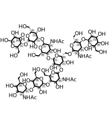 CC(=O)N[C@H]1[C@H](OC[C@H]2O[C@@H](O[C@H]3[C@H](O)[C@@H](NC(C)=O)[C@H](O[C@H]4[C@@H](O)[C@@H](CO)O[C@@H](O[C@H]5[C@H](O)[C@@H](O)[C@H](O)O[C@@H]5CO)[C@@H]4O)O[C@@H]3CO)[C@H](O)[C@@H](O[C@@H]3O[C@H](CO)[C@@H](O[C@@H]4O[C@H](CO)[C@H](O)[C@H](O[C@H]5O[C@H](CO)[C@H](O)[C@H](O)[C@H]5NC(C)=O)[C@H]4O)[C@H](O)[C@H]3NC(C)=O)[C@H]2O)O[C@H](CO)[C@@H](O[C@@H]2O[C@H](CO)[C@H](O)[C@H](O)[C@H]2O)[C@@H]1O